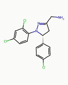 NCC1=NN(c2ccc(Cl)cc2Cl)[C@@H](c2ccc(Cl)cc2)C1